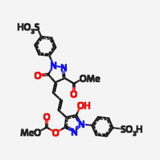 COC(=O)Oc1nn(-c2ccc(S(=O)(=O)O)cc2)c(O)c1C=CC=C1C(=O)N(c2ccc(S(=O)(=O)O)cc2)N=C1C(=O)OC